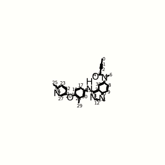 CC#CC(=O)N(C)c1ccc2ncnc(Nc3ccc(Oc4ccc(C)nc4)c(C)c3)c2c1